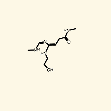 CN/C=N\C(=C/CC(=O)NC)NCCO